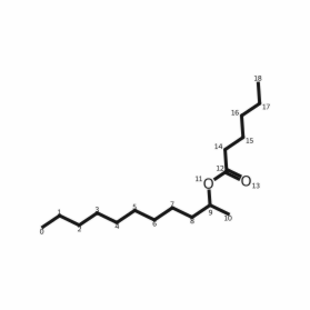 CCCCCCCCCC(C)OC(=O)CCCCC